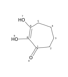 O=C1CCCCC(O)=C1O